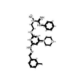 Cc1cccc(C=NNc2cc(N3CCOCC3)nc(OCCN(C#N)C(=N)Nc3ccccc3)n2)c1